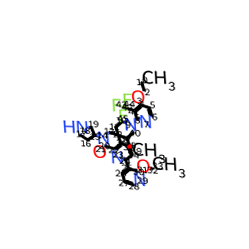 CCCOc1ccnc(N2CCC3(CN(C4CCNC4)C(=O)c4nc(-c5cccnc5OCC)ccc43)C(CC)C2)c1C(F)(F)F